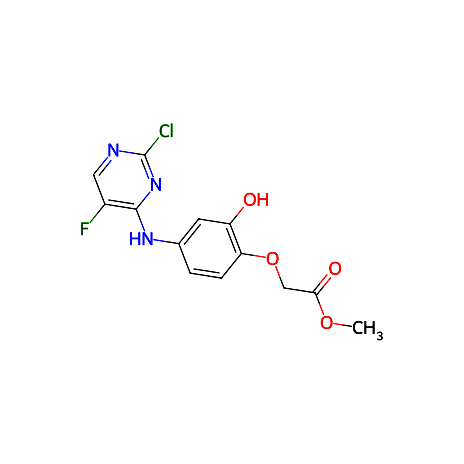 COC(=O)COc1ccc(Nc2nc(Cl)ncc2F)cc1O